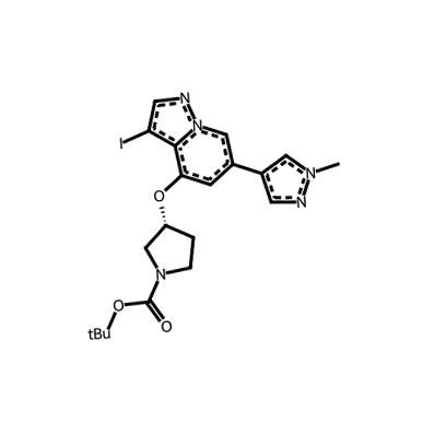 Cn1cc(-c2cc(O[C@@H]3CCN(C(=O)OC(C)(C)C)C3)c3c(I)cnn3c2)cn1